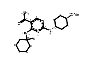 CO[C@H]1CC[C@H](Nc2ncc(C(N)=O)c(NC3(C)CCCCC3)n2)CC1